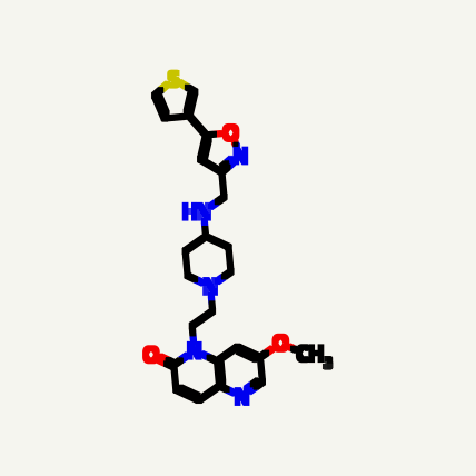 COc1cnc2ccc(=O)n(CCN3CCC(NCc4cc(-c5ccsc5)on4)CC3)c2c1